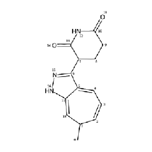 CC1C=CC=c2c(C3CCC(=O)NC3=O)n[nH]c2=C1